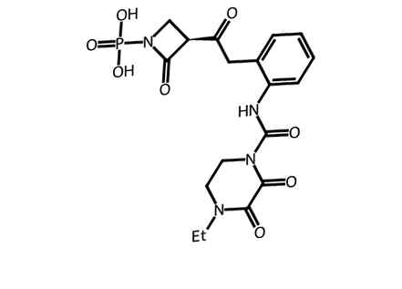 CCN1CCN(C(=O)Nc2ccccc2CC(=O)[C@@H]2CN(P(=O)(O)O)C2=O)C(=O)C1=O